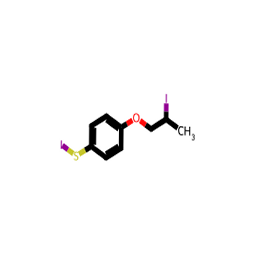 CC(I)COc1ccc(SI)cc1